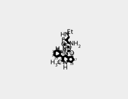 CCNCC(F)C(N)S(N)(=O)=NC(=O)NC1=C2CCCC2NC(C)=C1c1ccccc1